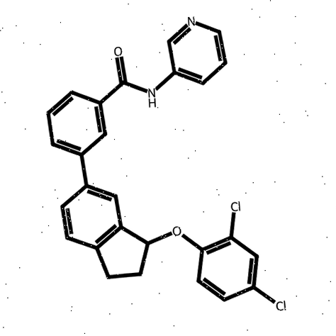 O=C(Nc1cccnc1)c1cccc(-c2ccc3c(c2)C(Oc2ccc(Cl)cc2Cl)CC3)c1